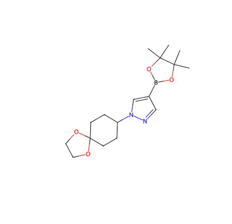 CC1(C)OB(c2cnn(C3CCC4(CC3)OCCO4)c2)OC1(C)C